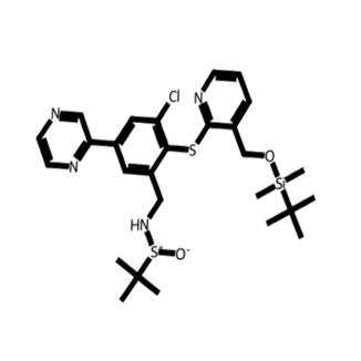 CC(C)(C)[S+]([O-])NCc1cc(-c2cnccn2)cc(Cl)c1Sc1ncccc1CO[Si](C)(C)C(C)(C)C